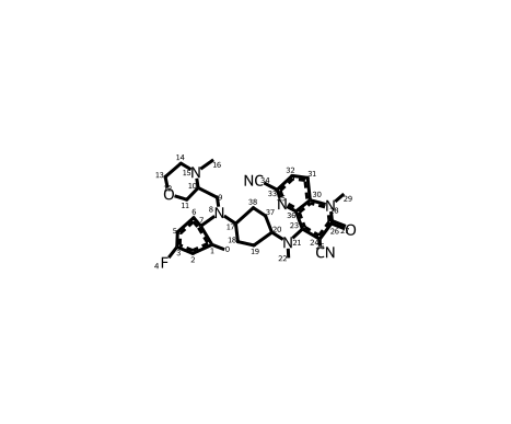 Cc1cc(F)ccc1N(CC1COCCN1C)C1CCC(N(C)c2c(C#N)c(=O)n(C)c3ccc(C#N)nc23)CC1